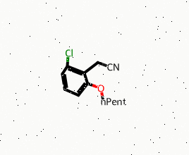 CCCCCOc1cccc(Cl)c1CC#N